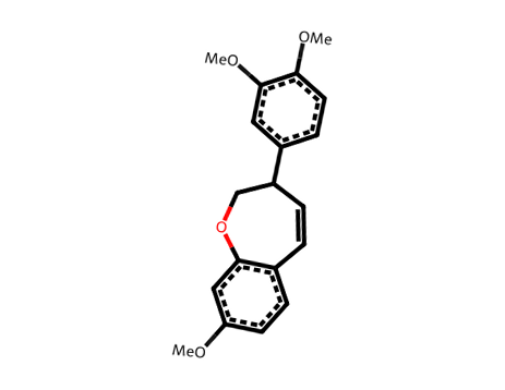 COc1ccc2c(c1)OCC(c1ccc(OC)c(OC)c1)C=C2